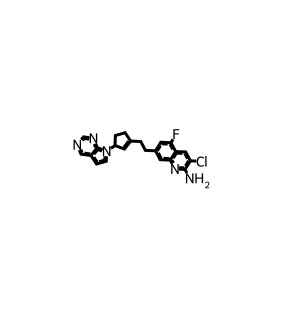 Nc1nc2cc(CCC3=CC(n4ccc5cncnc54)CC3)cc(F)c2cc1Cl